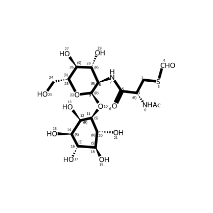 CC(=O)N[C@@H](CSC=O)C(=O)N[C@H]1[C@@H](O[C@@H]2[C@H](O)[C@H](O)[C@@H](O)[C@H](O)[C@H]2O)O[C@H](CO)[C@@H](O)[C@@H]1O